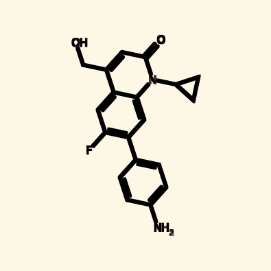 Nc1ccc(-c2cc3c(cc2F)c(CO)cc(=O)n3C2CC2)cc1